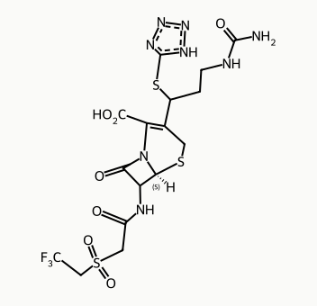 NC(=O)NCCC(Sc1nnn[nH]1)C1=C(C(=O)O)N2C(=O)C(NC(=O)CS(=O)(=O)CC(F)(F)F)[C@@H]2SC1